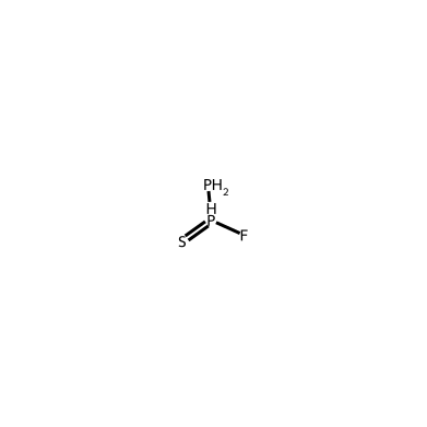 F[PH](P)=S